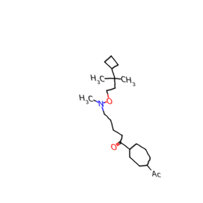 CC(=O)C1CCCC(C(=O)CCCCN(C)OCCC(C)(C)C2CCC2)CC1